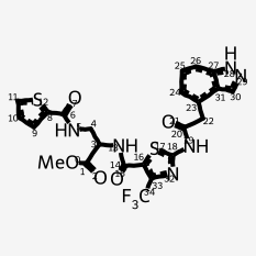 COC(=O)C(CNC(=O)c1cccs1)NC(=O)c1sc(NC(=O)Cc2cccc3[nH]ncc23)nc1C(F)(F)F